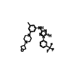 [2H]c1nc(Nc2cc(C)cc(N3CCN(C4COC4)CC3)c2)nn1-c1cccc(C(F)(F)F)c1